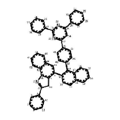 c1ccc(C2=Nc3c(c(-c4ccc5ccccc5c4-c4ccc(-c5cc(-c6ccccc6)nc(-c6ccccc6)n5)cc4)cc4ccccc34)C2)cc1